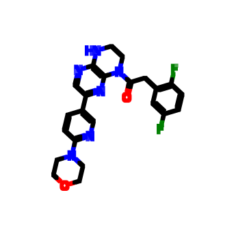 O=C(Cc1cc(F)ccc1F)N1CCNc2ncc(-c3ccc(N4CCOCC4)nc3)nc21